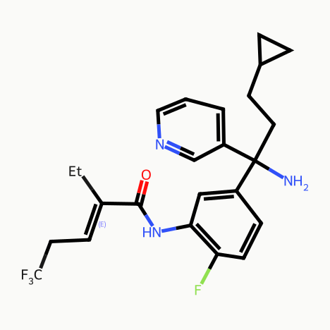 CC/C(=C\CC(F)(F)F)C(=O)Nc1cc(C(N)(CCC2CC2)c2cccnc2)ccc1F